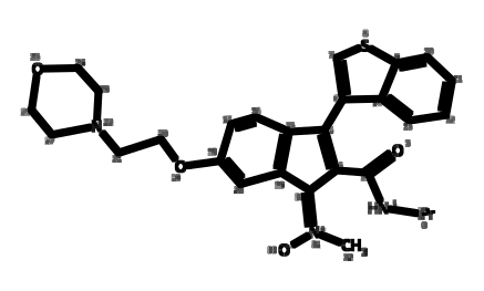 CC(C)NC(=O)C1=C(c2csc3ccccc23)c2ccc(OCCN3CCOCC3)cc2/C1=[N+](/C)[O-]